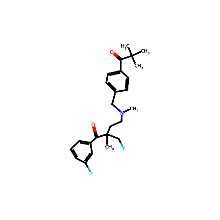 CN(CCC(C)(CF)C(=O)c1cccc(F)c1)Cc1ccc(C(=O)C(C)(C)C)cc1